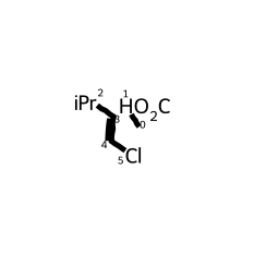 CC(=O)O.CC(C)C=CCl